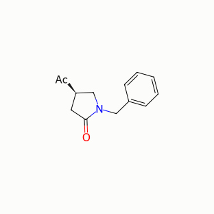 CC(=O)[C@@H]1CC(=O)N(Cc2ccccc2)C1